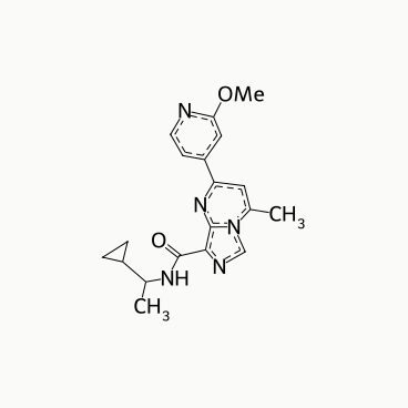 COc1cc(-c2cc(C)n3cnc(C(=O)NC(C)C4CC4)c3n2)ccn1